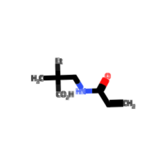 C=CC(=O)NCC(C)(CC)C(=O)O